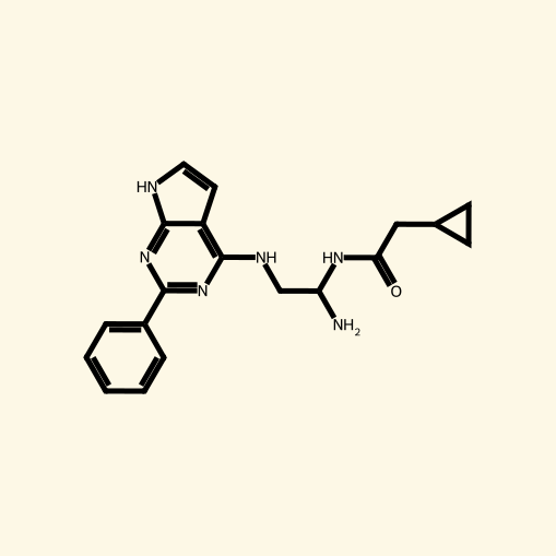 NC(CNc1nc(-c2ccccc2)nc2[nH]ccc12)NC(=O)CC1CC1